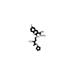 CC(=O)NC(=N)c1cc2cc(F)ccc2nc1NCCC(N)C(C)OC1CCCC1